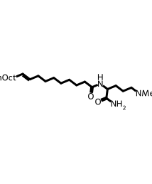 CCCCCCCC/C=C/CCCCCCCC(=O)NC(CCCNC)C(N)=O